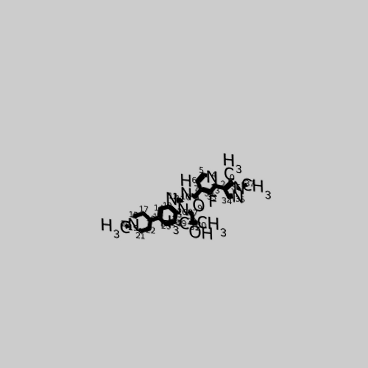 Cc1c(-c2nccc(C(=O)Nc3nc4cc(C5CCN(C)CC5)ccc4n3CC(C)(C)O)c2F)cnn1C